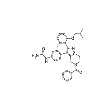 Cc1cccc(OCC(C)C)c1-n1nc2c(c1-c1ccc(NC(N)=O)cc1)CN(C(=O)c1ccccc1)CC2